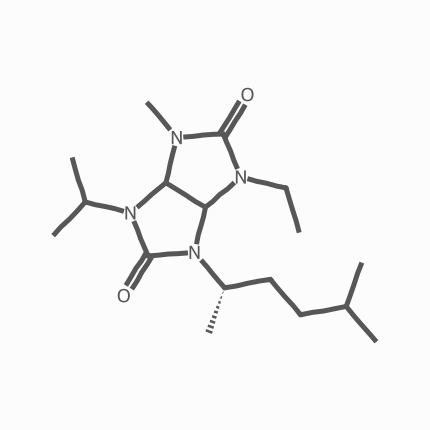 CCN1C(=O)N(C)C2C1N([C@@H](C)CCC(C)C)C(=O)N2C(C)C